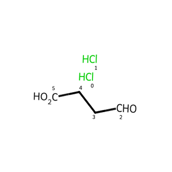 Cl.Cl.O=CCCC(=O)O